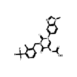 Cc1c(Cn2c(=O)c(OC(=O)O)cn(-c3ccc4c(c3)ncn4C)c2=O)cccc1C(F)(F)F